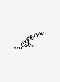 COc1ccc(-c2nc3[nH]c(CNc4ccc(OC)cc4OC)cc(=O)n3n2)cc1